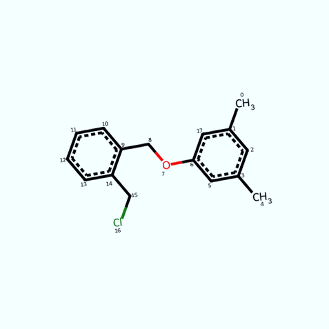 Cc1cc(C)cc(OCc2ccccc2CCl)c1